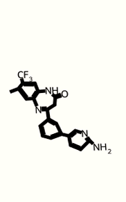 Cc1cc2c(cc1C(F)(F)F)NC(=O)CC(c1cccc(-c3ccc(N)nc3)c1)=N2